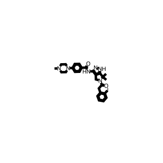 CN1CCN(c2ccc(C(=O)Nc3n[nH]c4c3CN(C(=O)Cc3ccccc3I)C4(C)C)cc2)CC1